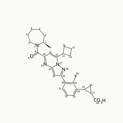 C[C@@H]1CCCCCN1C(=O)c1cc(C2CCC2)n2nc(-c3cccc(C4CC4C(=O)O)c3F)cc2n1